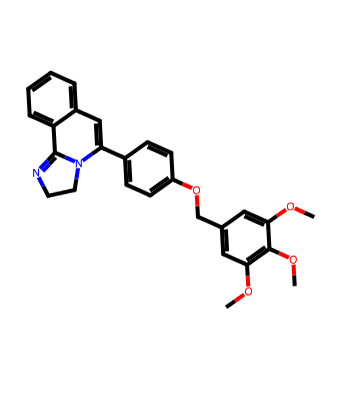 COc1cc(COc2ccc(C3=Cc4ccccc4C4=NCCN34)cc2)cc(OC)c1OC